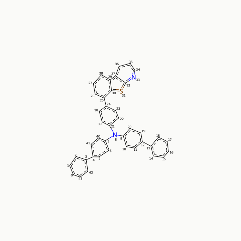 c1ccc(-c2ccc(N(c3ccc(-c4ccccc4)cc3)c3ccc(-c4cccc5c4sc4ncccc45)cc3)cc2)cc1